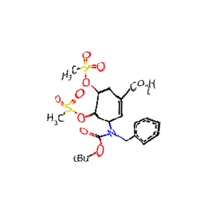 CC(C)(C)OC(=O)N(Cc1ccccc1)C1C=C(C(=O)O)CC(OS(C)(=O)=O)C1OS(C)(=O)=O